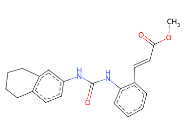 COC(=O)C=Cc1ccccc1NC(=O)Nc1ccc2c(c1)CCCC2